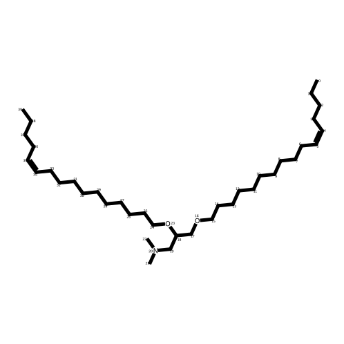 CCCC/C=C\CCCCCCCCCCOCC(CN(C)C)OCCCCCCCCCC/C=C\CCCC